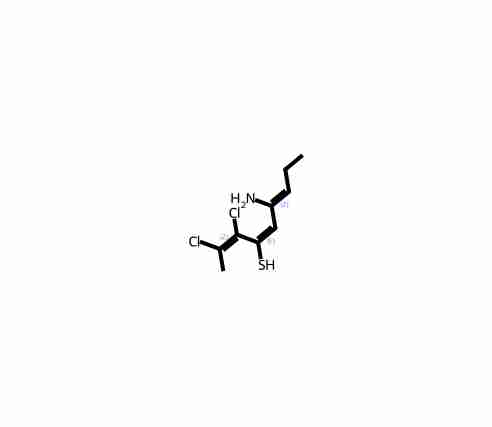 CC/C=C(N)/C=C(S)\C(Cl)=C(/C)Cl